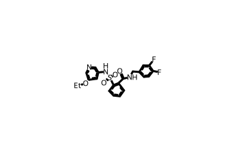 CCOc1cncc(NS(=O)(=O)c2ccccc2C(=O)NCc2ccc(F)c(F)c2)c1